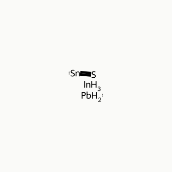 [InH3].[PbH2].[S]=[Sn]